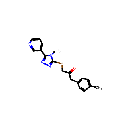 Cc1ccc(CC(=O)CSc2nnc(-c3cccnc3)n2C)cc1